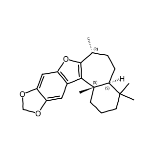 C[C@@H]1CC[C@H]2C(C)(C)CCC[C@]2(C)c2c1oc1cc3c(cc21)OCO3